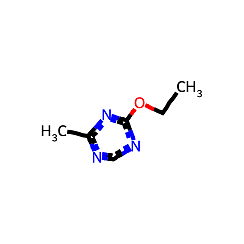 CCOc1ncnc(C)n1